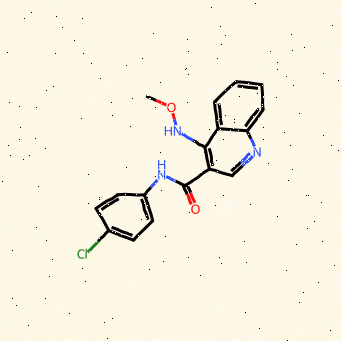 CONc1c(C(=O)Nc2ccc(Cl)cc2)cnc2ccccc12